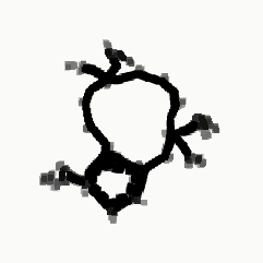 Cn1nnc2c1CCC(C)(I)CCCC(C)(C)C2